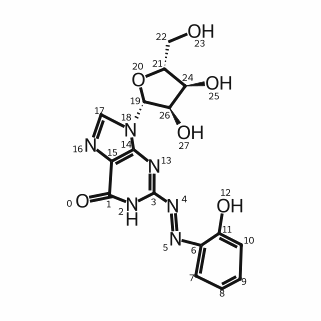 O=c1[nH]c(/N=N/c2ccccc2O)nc2c1ncn2[C@@H]1O[C@H](CO)[C@@H](O)[C@H]1O